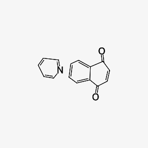 O=C1C=CC(=O)c2ccccc21.c1ccncc1